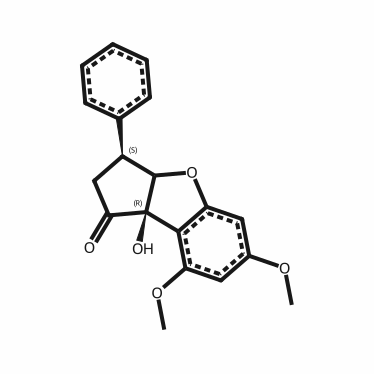 COc1cc(OC)c2c(c1)OC1[C@H](c3ccccc3)CC(=O)[C@@]21O